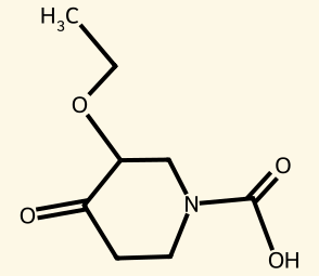 CCOC1CN(C(=O)O)CCC1=O